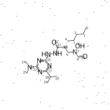 CCCCC[C@H](CN(O)C=O)C(=O)NNc1nc(C(C)C)nc(N(C)C)n1